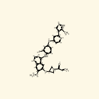 C=CC(=O)N1CC(Oc2cc3c(Nc4ccc(Oc5ccnc(-c6cn[nH]c6C)c5)cc4F)ncnc3cc2OC)C1